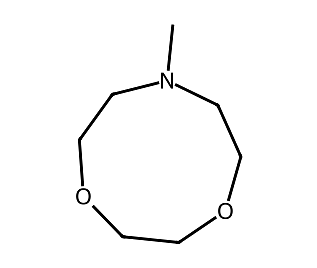 CN1CCOCCOCC1